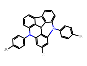 CCc1cc2c3c(c1)N(c1ccc(C(C)(C)C)cc1)c1cccc4c1B3c1c-4cccc1N2c1ccc(C(C)(C)C)cc1